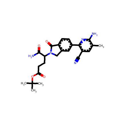 Cc1cc(C#N)c(-c2ccc3c(c2)CN(C(CCC(=O)OC(C)(C)C)C(N)=O)C3=O)nc1N